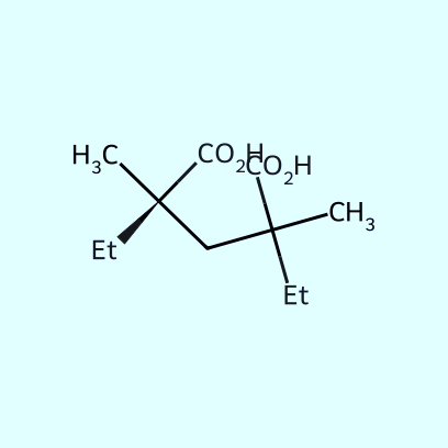 CCC(C)(C[C@@](C)(CC)C(=O)O)C(=O)O